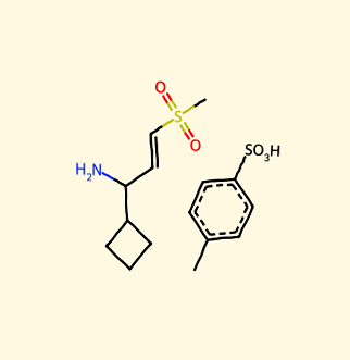 CS(=O)(=O)/C=C/C(N)C1CCC1.Cc1ccc(S(=O)(=O)O)cc1